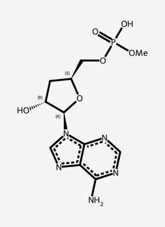 COP(=O)(O)OC[C@@H]1C[C@@H](O)[C@H](n2cnc3c(N)ncnc32)O1